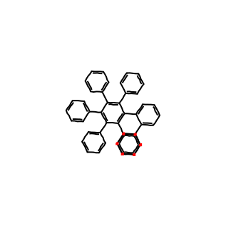 c1ccc(-c2ccccc2-c2c(-c3ccccc3)c(-c3ccccc3)c(-c3ccccc3)c(-c3ccccc3)c2-c2ccccc2)cc1